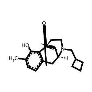 Cc1ccc2c(c1O)[C@@]13CCN(CC4CCC4)[C@@H](C2)C1CCC(=O)C3